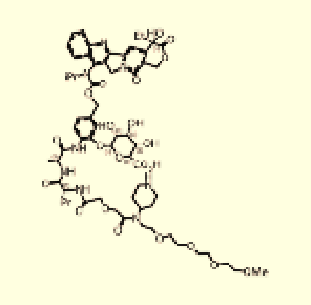 CC[C@@]1(O)C(=O)OCc2c1cc1n(c2=O)Cc2c-1nc1ccccc1c2N(C(=O)OCc1ccc(NC(=O)[C@H](C)NC(=O)[C@@H](NC(=O)COCC(=O)N(CCOCCOCCOCCOC)C2CCNCC2)C(C)C)c(O[C@@H]2O[C@H](C(=O)O)[C@@H](O)[C@H](O)[C@H]2O)c1)C(C)C